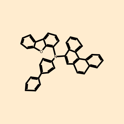 c1ccc(-c2ccc(N(c3cc4ccc5ccccc5c4c4ccccc34)c3cccc4c3oc3ccccc34)cc2)cc1